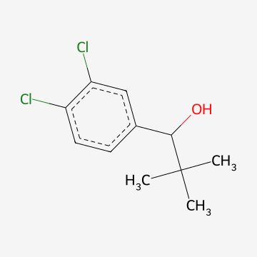 CC(C)(C)C(O)c1ccc(Cl)c(Cl)c1